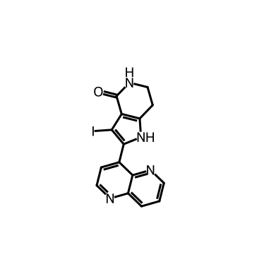 O=C1NCCc2[nH]c(-c3ccnc4cccnc34)c(I)c21